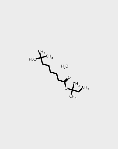 CCC(C)(C)OC(=O)CCCCCC(C)(C)C.O